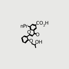 CCCc1cc(C(=O)O)cc2c(=O)cc(-c3ccccc3OCC(C)O)oc12